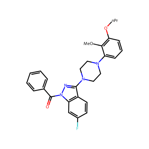 CCCOc1[c]ccc(N2CCN(c3nn(C(=O)c4ccccc4)c4cc(F)ccc34)CC2)c1OC